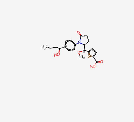 CCCC(O)c1ccc(N2C(=O)CCC2[C@H](OC)c2ccc(C(=O)O)s2)cc1